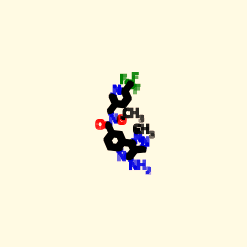 CON(Cc1ccc(C(F)(F)F)nc1)C(=O)c1ccc2nc(N)c3cnn(C)c3c2c1